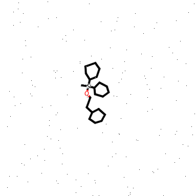 C[Si](OCCC1CCCCC1)(C1CCCCC1)C1CCCCC1